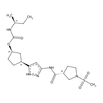 CC[C@H](C)NC(=O)O[C@@H]1CC[C@H](c2cc(NC(=O)[C@@H]3CCN(S(C)(=O)=O)C3)n[nH]2)C1